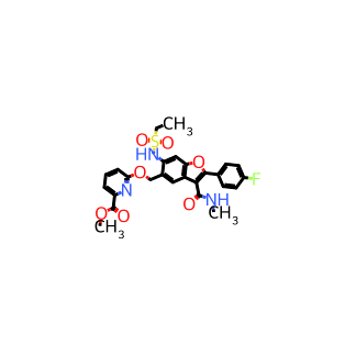 CCS(=O)(=O)Nc1cc2oc(-c3ccc(F)cc3)c(C(=O)NC)c2cc1COc1cccc(C(=O)OC)n1